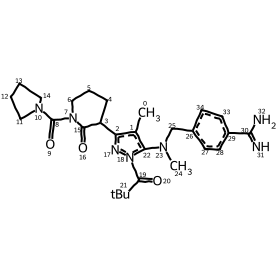 Cc1c(C2CCCN(C(=O)N3CCCC3)C2=O)nn(C(=O)C(C)(C)C)c1N(C)Cc1ccc(C(=N)N)cc1